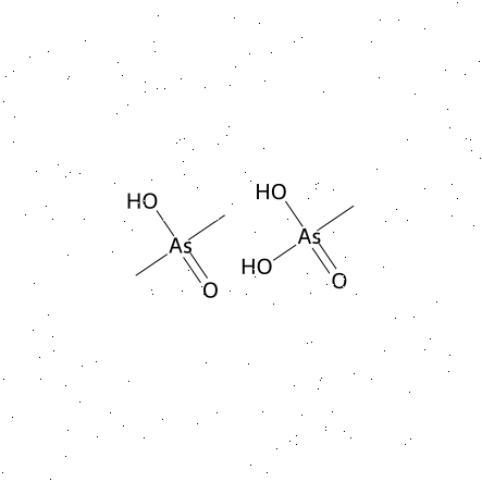 C[As](=O)(O)O.C[As](C)(=O)O